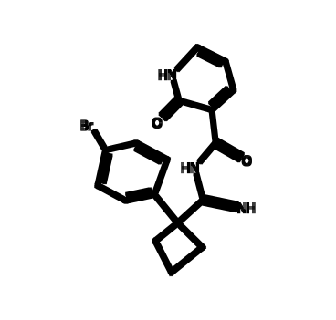 N=C(NC(=O)c1ccc[nH]c1=O)C1(c2ccc(Br)cc2)CCC1